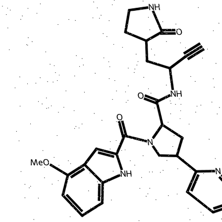 C#CC(CC1CCNC1=O)NC(=O)C1CC(c2ccccn2)CN1C(=O)c1cc2c(OC)cccc2[nH]1